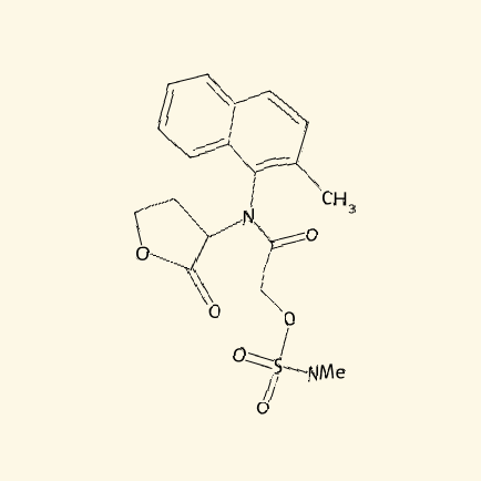 CNS(=O)(=O)OCC(=O)N(c1c(C)ccc2ccccc12)C1CCOC1=O